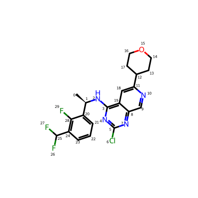 C[C@@H](Nc1nc(Cl)nc2cnc(C3CCOCC3)cc12)c1cccc(C(F)F)c1F